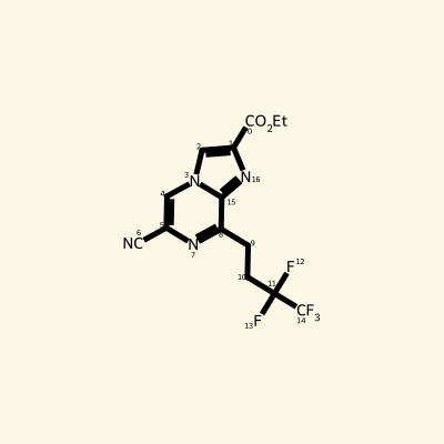 CCOC(=O)c1cn2cc(C#N)nc(CCC(F)(F)C(F)(F)F)c2n1